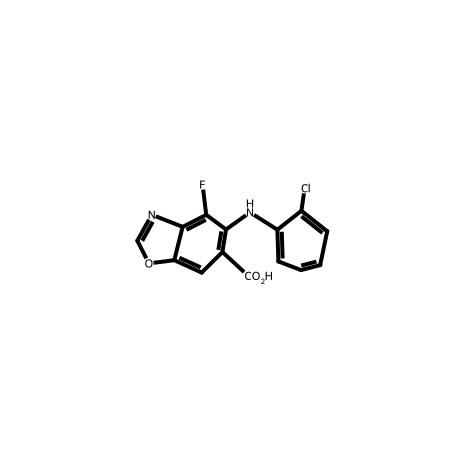 O=C(O)c1cc2ocnc2c(F)c1Nc1ccccc1Cl